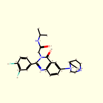 CC(C)NC(=O)Cn1c(-c2ccc(F)c(F)c2)nc2ccc(N3CCN4CCC3CC4)cc2c1=O